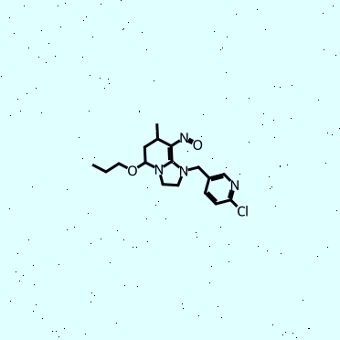 CCCOC1CC(C)C(N=O)=C2N(Cc3ccc(Cl)nc3)CCN21